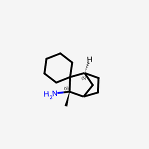 C[C@]1(N)C2CC[C@@H](C2)C12CCCCC2